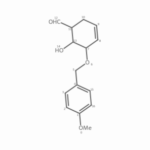 COc1ccc(COC2C=CCC(C=O)C2O)cc1